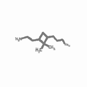 CC1(C)C(CCN)CC1CCCP